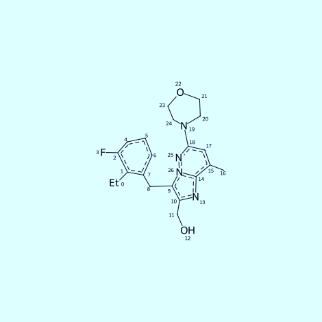 CCc1c(F)cccc1Cc1c(CO)nc2c(C)cc(N3CCOCC3)nn12